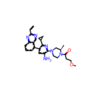 C=Cc1ncc2c(-c3cc(N)c(N4CCN(C(=O)CCOC)[C@H](C)C4)nc3C3CC3)cccc2n1